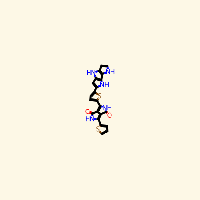 O=C1NC(c2ccc(-c3cc4[nH]c5cc[nH]c5c4[nH]3)s2)=C2C(=O)NC(c3cccs3)=C12